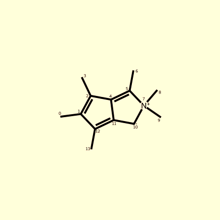 CC1=C(C)C2=C(C)[N+](C)(C)[CH]C2=C1C